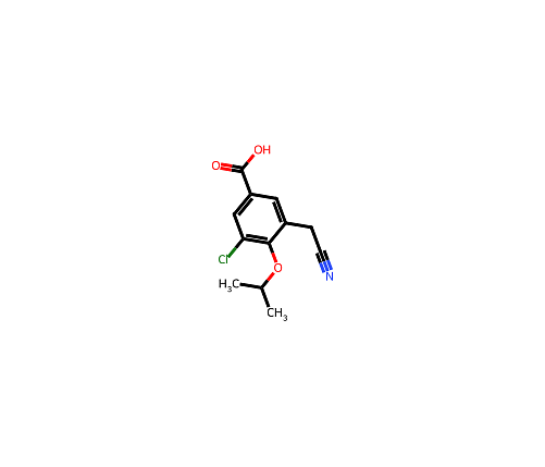 CC(C)Oc1c(Cl)cc(C(=O)O)cc1CC#N